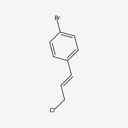 ClC/C=C/c1ccc(Br)cc1